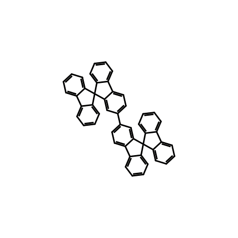 c1ccc2c(c1)-c1ccccc1C21c2ccccc2-c2ccc(-c3ccc4c(c3)C3(c5ccccc5-c5ccccc53)c3ccccc3-4)cc21